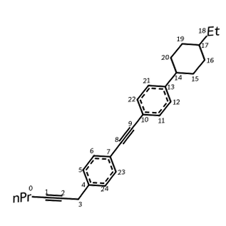 CCCC#CCc1ccc(C#Cc2ccc(C3CCC(CC)CC3)cc2)cc1